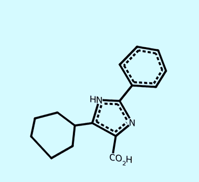 O=C(O)c1nc(-c2ccccc2)[nH]c1C1CCCCC1